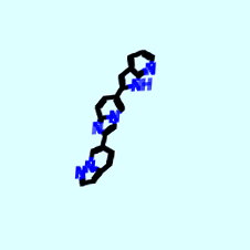 c1cnc2[nH]c(-c3ccc4nc(-c5ccc6ccnn6c5)cn4c3)cc2c1